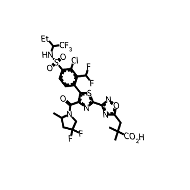 CCC(NS(=O)(=O)c1ccc(-c2sc(-c3noc(CC(C)(C)C(=O)O)n3)nc2C(=O)N2CC(F)(F)CC2C)c(C(F)F)c1Cl)C(F)(F)F